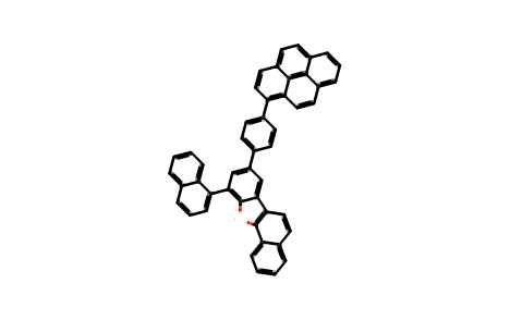 c1ccc2c(-c3cc(-c4ccc(-c5ccc6ccc7cccc8ccc5c6c78)cc4)cc4c3oc3c5ccccc5ccc43)cccc2c1